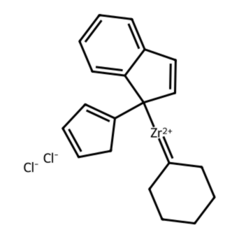 C1=CCC([C]2([Zr+2]=[C]3CCCCC3)C=Cc3ccccc32)=C1.[Cl-].[Cl-]